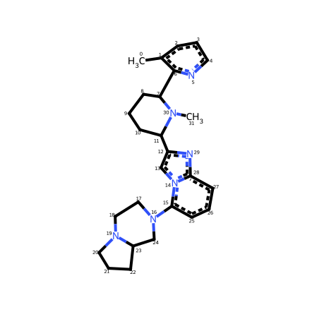 Cc1cccnc1C1CCCC(c2cn3c(N4CCN5CCCC5C4)cccc3n2)N1C